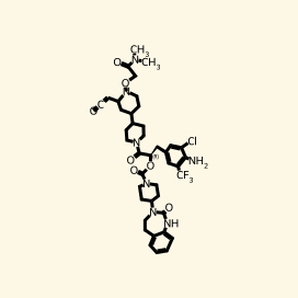 CN(C)C(=O)CON1CCC(C2CCN(C(=O)[C@@H](Cc3cc(Cl)c(N)c(C(F)(F)F)c3)OC(=O)N3CCC(N4CCc5ccccc5NC4=O)CC3)CC2)CC1C=C=O